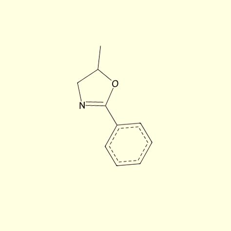 CC1CN=C(c2ccccc2)O1